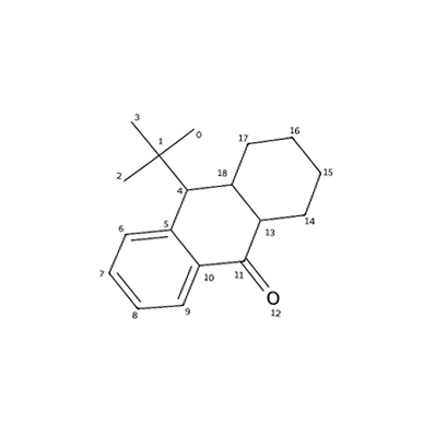 CC(C)(C)C1c2ccccc2C(=O)C2CCCCC21